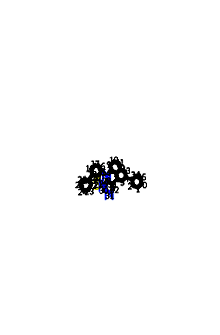 c1ccc(-c2cc3c4c(cccc4c2)N(c2cccc4c2sc2ccccc24)c2ncncc2-3)cc1